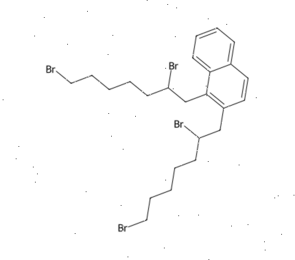 BrCCCCCC(Br)Cc1ccc2ccccc2c1CC(Br)CCCCCBr